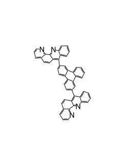 c1cnc2c(c1)ccc1c(-c3ccc4c5ccc(-c6c7ccccc7nc7c6ccc6cccnc67)cc5c5ccccc5c4c3)c3ccccc3nc12